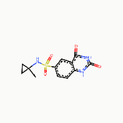 CC1(NS(=O)(=O)c2ccc3[nH]c(=O)[nH]c(=O)c3c2)CC1